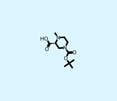 CN1CCN(C(=O)OC(C)(C)C)C[C@H]1C(=O)O